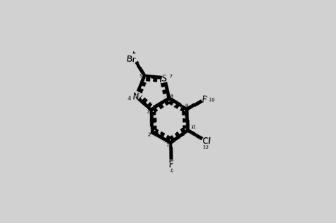 Fc1cc2nc(Br)sc2c(F)c1Cl